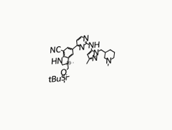 Cc1cc(Nc2nccc(-c3cc(C#N)c4c(c3)[C@@](C)(CO[Si](C)(C)C(C)(C)C)CN4)n2)n(CC2CCCN(C)C2)n1